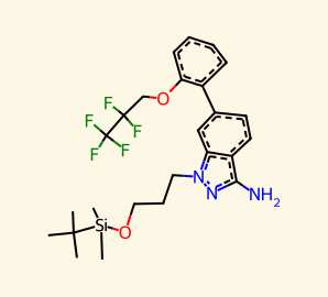 CC(C)(C)[Si](C)(C)OCCCn1nc(N)c2ccc(-c3ccccc3OCC(F)(F)C(F)(F)F)cc21